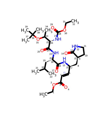 CCOC(=O)/C=C/[C@H](C[C@@H]1CCNC1=O)NC(=O)[C@H](CC(C)C)NC(=O)[C@@H](NC(=O)OCC)C(C)OC(C)(C)C